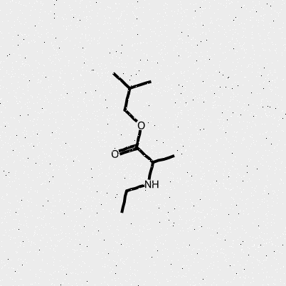 CCNC(C)C(=O)OCC(C)C